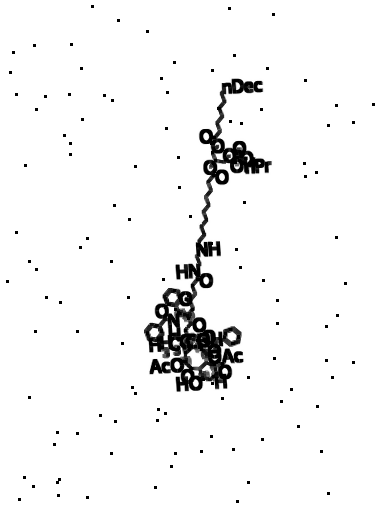 CCCCCCCCCCCCCCCCC(=O)OCC(COP(=O)(O)OCCC)OC(=O)CCCCCCCCCNCCNC(=O)CCC(=O)C[C@@H](C(=O)C[C@H]1C[C@@]2(O)[C@@H](OC(=O)c3ccccc3)C3C(C(=O)[C@H](OC(C)=O)C(=C1C)C2(C)C)[C@@H](O)C[C@H]1OC[C@@]31OC(C)=O)[C@@H](NC(=O)c1ccccc1)c1ccccc1